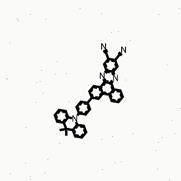 CC1(C)c2ccccc2N(c2ccc(-c3ccc4c(c3)c3ccccc3c3nc5cc(C#N)c(C#N)cc5nc43)cc2)c2ccccc21